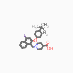 CC(C)(C)C1CCC(Oc2cc(I)c3ccccc3c2CN2CCC(C(=O)O)CC2)CC1